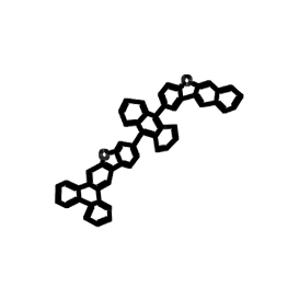 c1ccc2cc3c(cc2c1)oc1ccc(-c2c4ccccc4c(-c4ccc5c(c4)oc4cc6c7ccccc7c7ccccc7c6cc45)c4ccccc24)cc13